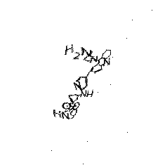 NC1CCN(c2c3c(nc4ccc(-c5ccnc(Nc6cccc(S(=O)(=O)[C@@H]7CNCCO7)c6)c5)cc24)CCCC3)C1